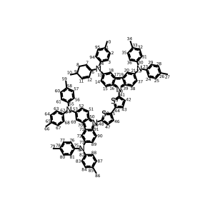 Cc1ccc(N(C2=CCC(C)C=C2)c2ccc3c(c2)c2cc(N(c4ccc(C)cc4)c4ccc(C)cc4)ccc2n3-c2ccc(-c3ccc(-n4c5ccc(N(c6ccc(C)cc6)c6ccc(C)cc6)cc5c5cc(N(c6ccc(C)cc6)c6ccc(C)cc6)ccc54)s3)s2)cc1